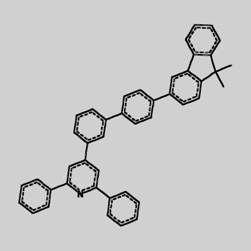 CC1(C)c2ccccc2-c2cc(-c3ccc(-c4cccc(-c5cc(-c6ccccc6)nc(-c6ccccc6)c5)c4)cc3)ccc21